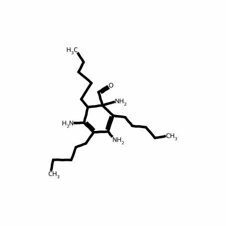 CCCCCC1=C(N)C(CCCCC)C(N)(C=O)C(CCCCC)=C1N